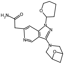 NC(=O)Cc1cc2c(cn1)c(N1CC3CC(C1)O3)nn2C1CCCCO1